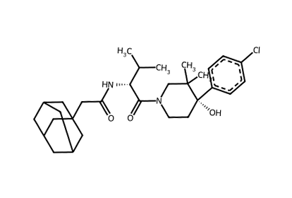 CC(C)[C@@H](NC(=O)CC12CC3CC(CC(C3)C1)C2)C(=O)N1CC[C@](O)(c2ccc(Cl)cc2)C(C)(C)C1